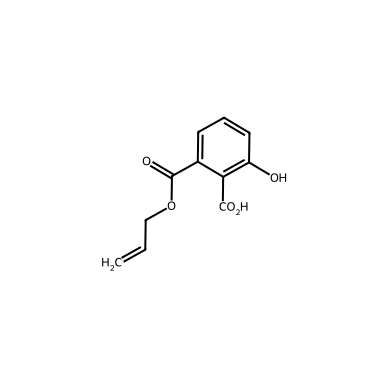 C=CCOC(=O)c1cccc(O)c1C(=O)O